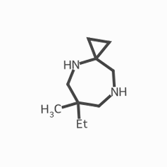 CCC1(C)CNCC2(CC2)NC1